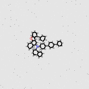 c1ccc(-c2ccc(-c3ccc(N(c4cccc5ccccc45)c4cc5c(oc6cccc(-c7ccccc7)c65)c5ccccc45)cc3)cc2)cc1